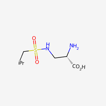 CC(C)CS(=O)(=O)NC[C@H](N)C(=O)O